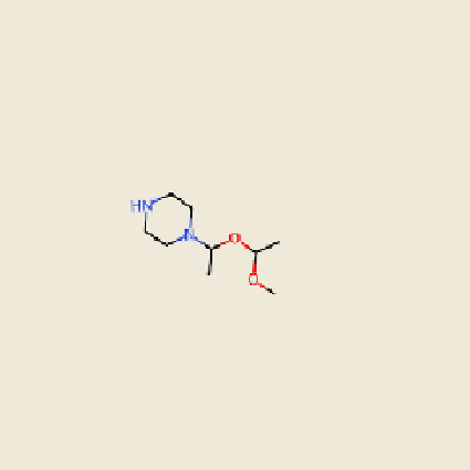 COC(C)OC(C)N1CCNCC1